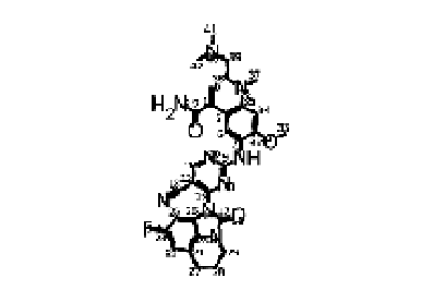 C=C(C(N)=O)c1cc(Nc2ncc(C#N)c(-n3c(=O)n4c5c(cc(F)cc53)CCC4)n2)c(OC)cc1N(C)CCN(C)C